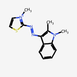 Cc1c(/N=N/c2scc[n+]2C)c2ccccc2n1C